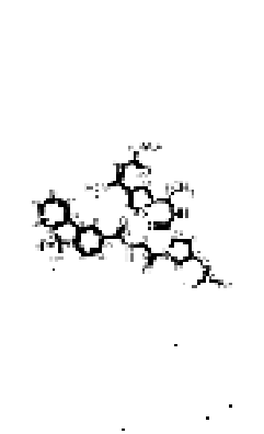 COC(=O)/N=C(/N)C1=CSC([C@@H](C)NC(=O)[C@@H]2C[C@@H](OC(F)F)CN2C(=O)CNC(=O)c2ccc3c(c2)-c2ccccc2C3(F)F)C1